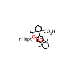 C=Cc1cccc(C(=O)O)c1-c1cc2c(cc1OCCCCCCC)C1(C)CCCC2(C)C1O